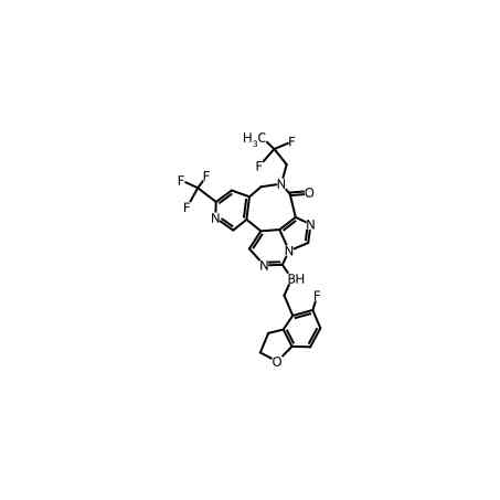 CC(F)(F)CN1Cc2cc(C(F)(F)F)ncc2-c2cnc(BCc3c(F)ccc4c3CCO4)n3cnc(c23)C1=O